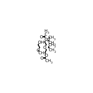 C=CC.CC(=O)OCCOCCOC(C)=O.COC.COCCO